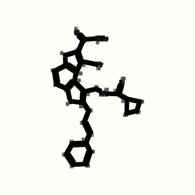 COC(=O)c1sc2ccc3sc(CC=Cc4ccccc4)c(CNC(=O)C4CCC4)c3c2c1C(C)C